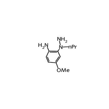 CCCN(N)c1cc(OC)ccc1N